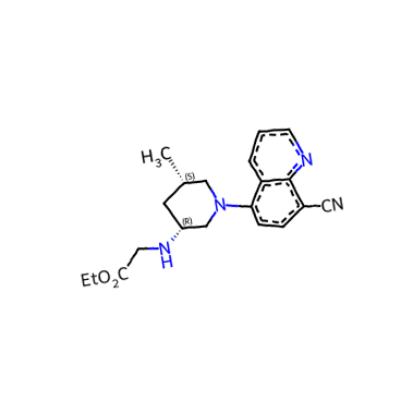 CCOC(=O)CN[C@@H]1C[C@H](C)CN(c2ccc(C#N)c3ncccc23)C1